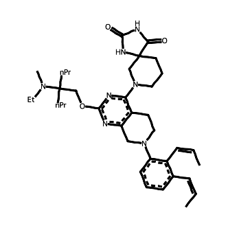 C/C=C\c1cccc(N2CCc3c(nc(OCC(CCC)(CCC)N(C)CC)nc3N3CCCC4(C3)NC(=O)NC4=O)C2)c1/C=C\C